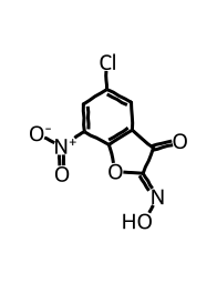 O=C1C(=NO)Oc2c1cc(Cl)cc2[N+](=O)[O-]